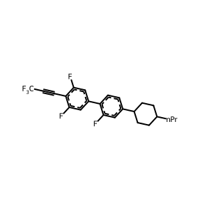 CCCC1CCC(c2ccc(-c3cc(F)c(C#CC(F)(F)F)c(F)c3)c(F)c2)CC1